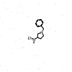 CCN(C)C1CCN(Cc2ccccc2)C1